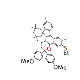 CCSc1cc2c3c(c4c(c2cc1C)-c1ccc(C)cc1C41CC(C)(C)CC(C)(C)C1)C=CC(c1ccc(OC)cc1)(c1ccc(OC)cc1)O3